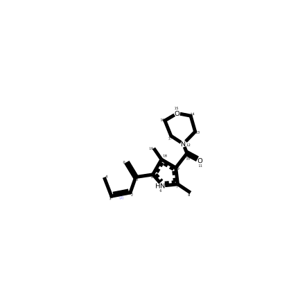 C=C(/C=C\C)c1[nH]c(C)c(C(=O)N2CCOCC2)c1C